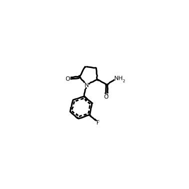 NC(=O)C1CCC(=O)N1c1cccc(F)c1